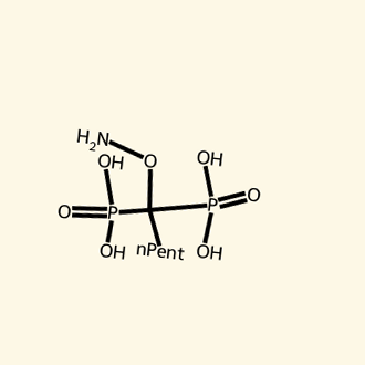 CCCCCC(ON)(P(=O)(O)O)P(=O)(O)O